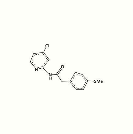 CSc1ccc(CC(=O)Nc2cc(Cl)ccn2)cc1